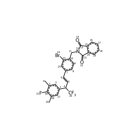 Cc1cc(C(/C=C/c2ccc(CN3C(=O)c4ccccc4C3=O)c(Br)c2)C(F)(F)F)cc(C)c1F